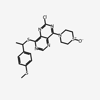 CSc1ccc(C(C)Sc2ncnc3c(N4CC[S+]([O-])CC4)nc(Cl)nc23)cc1